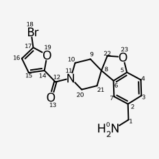 NCc1ccc2c(c1)C1(CCN(C(=O)c3ccc(Br)o3)CC1)CO2